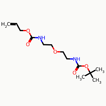 C=CCOC(=O)NCCOCCNC(=O)OC(C)(C)C